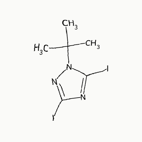 CC(C)(C)n1nc(I)nc1I